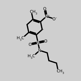 CCCCN(C)S(=O)(=O)C1=C(C)CC(C)=C([N+](=O)[O-])[CH]1